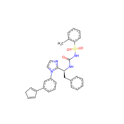 Cc1ccccc1S(=O)(=O)NC(=O)N[C@@H](Cc1ccccc1)c1nccn1-c1cccc(C2=CCC=C2)c1